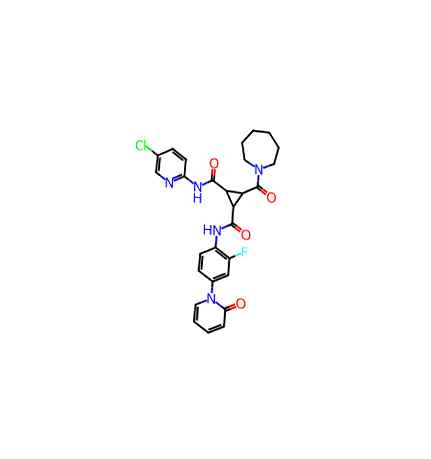 O=C(Nc1ccc(Cl)cn1)C1C(C(=O)Nc2ccc(-n3ccccc3=O)cc2F)C1C(=O)N1CCCCCC1